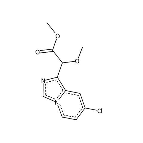 COC(=O)C(OC)c1ncn2ccc(Cl)cc12